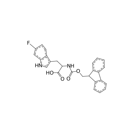 O=C(NC(Cc1c[nH]c2cc(F)ccc12)C(=O)O)OCC1c2ccccc2-c2ccccc21